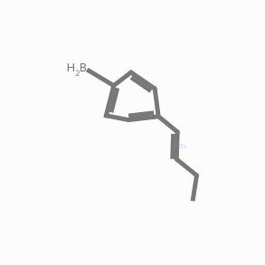 Bc1ccc(/C=C/CC)cc1